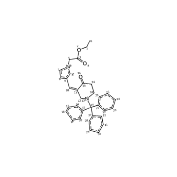 CCOC(=O)Cn1ccc(C=C2CN(C(c3ccccc3)(c3ccccc3)c3ccccc3)CCC2=O)c1